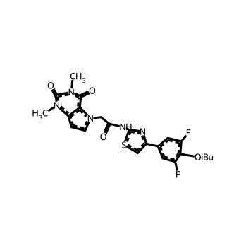 CC(C)COc1c(F)cc(-c2csc(NC(=O)Cn3ccc4c3c(=O)n(C)c(=O)n4C)n2)cc1F